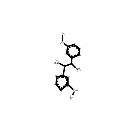 CCOc1cccc(C(N)C(N)c2cccc(OCC)c2)c1